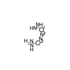 N=C(N)c1ccc2ccn(Cn3ccc4ccc(C(=N)N)cc43)c2c1